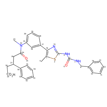 Cc1sc(NC(=O)NCc2ccccc2)nc1-c1cccc(N(C)C(=O)CC(CC(=O)O)c2ccccc2)c1